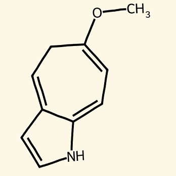 COC1=CC=c2[nH]ccc2=CC1